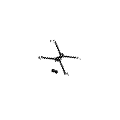 CCCCCCCCCCCCCCOC(=O)c1ccc(-c2ccc(C(=O)OCCCCCCCCCCCCCC)c(O)c2C(=O)OCCCCCCCCCCCCCC)cc1C(=O)OCCCCCCCCCCCCCC.c1ccc(-c2ccccc2)cc1